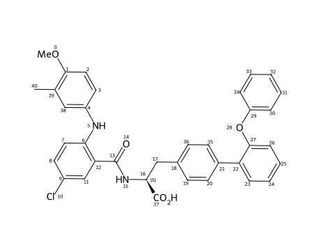 COc1ccc(Nc2ccc(Cl)cc2C(=O)N[C@@H](Cc2ccc(-c3ccccc3Oc3ccccc3)cc2)C(=O)O)cc1C